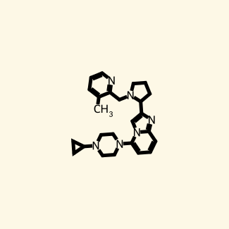 Cc1cccnc1CN1CCCC1c1cn2c(N3CCN(C4CC4)CC3)cccc2n1